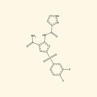 NC(=O)c1cc(S(=O)(=O)c2ccc(F)c(F)c2)sc1NC(=O)c1cc[nH]n1